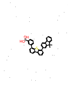 CC1(C)c2ccccc2-c2ccc(-c3cccc4c3sc3c(-c5cccc(B(O)O)c5)cccc34)cc21